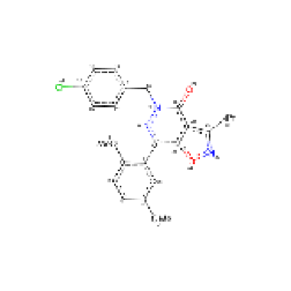 COc1ccc(OC)c(-c2nn(Cc3ccc(Cl)cc3)c(=O)c3c(C(C)C)noc23)c1